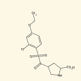 O=C(O)C1CC(C(=O)S(=O)(=O)c2ccc(OCC(F)(F)F)cc2Cl)CN1